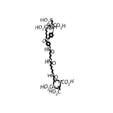 O=C(O)CC[C@@H](NC(=O)N[C@H](CCCCCN(Cc1ccc(I)cc1)C(=O)c1ccc(CNC(=O)CCCCNC(=O)CCCCCCNC(=O)CN2CCN(CC(=O)O)CCN(CC(=O)O)CCN(CC(=O)O)CC2)cc1)C(=O)O)C(=O)O